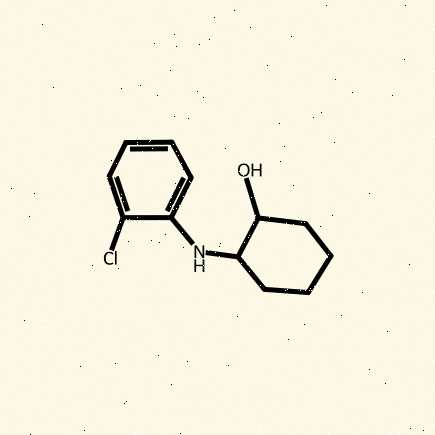 OC1CCCCC1Nc1ccccc1Cl